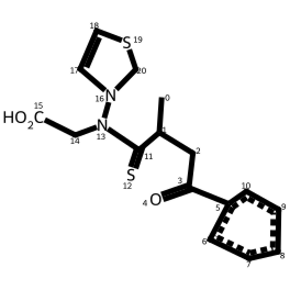 CC(CC(=O)c1ccccc1)C(=S)N(CC(=O)O)N1C=CSC1